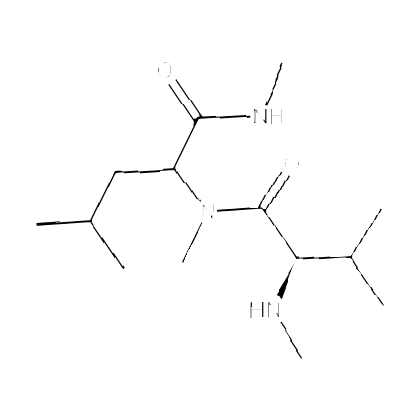 CNC(=O)C(CC(C)C)N(C)C(=O)[C@H](NC)C(C)C